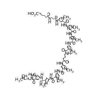 CN(C)CCCNC(=O)c1cc(NC(=O)c2cc(NC(=O)c3cc(NC(=O)c4cc(NC(=O)CCCNC(=O)c5cc(NC(=O)c6nc(NC(=O)c7nc(NC(=O)c8cc(NC(=O)CCNC(=O)CCCCC(=O)O)cn8C)cn7C)cn6C)cn5C)cn4C)cn3C)cn2C)cn1C